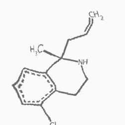 C=CCC1(C)NCCc2c(Cl)cccc21